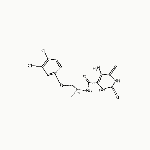 C=C1NC(=O)NC(C(=O)N[C@H](C)COc2ccc(Cl)c(Cl)c2)=C1N